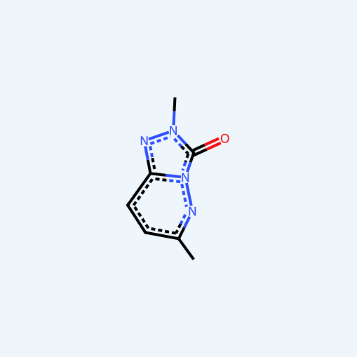 Cc1ccc2nn(C)c(=O)n2n1